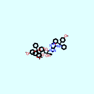 C#C[C@]1(O)[C@H](n2cnc3c(NC(c4ccccc4)(c4ccccc4)c4ccc(OC)cc4)ncnc32)O[C@](F)(COC(c2ccccc2)(c2ccccc2)c2ccc(OC)cc2)[C@H]1O[Si](c1ccccc1)(c1ccccc1)C(C)(C)C